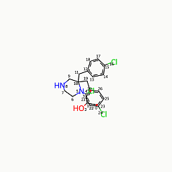 CC(O)C(Cl)N1CCNCC1(Cc1ccc(Cl)cc1)Cc1ccc(Cl)cc1